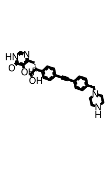 O=c1[nH]cnc(C[C@@H](CO)c2ccc(C#Cc3ccc(CN4CCNCC4)cc3)cc2)c1O